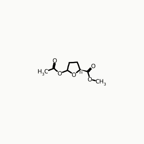 COC(=O)[C@@H]1CCC(OC(C)=O)O1